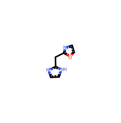 c1c[nH]c(Cc2ncco2)n1